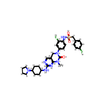 CC(C)N1C(=O)N(c2ccc(NS(=O)(=O)Cc3ccc(F)cc3)c(F)c2)Cc2cnc(NC3CCC(N4CCCC4)CC3)nc21